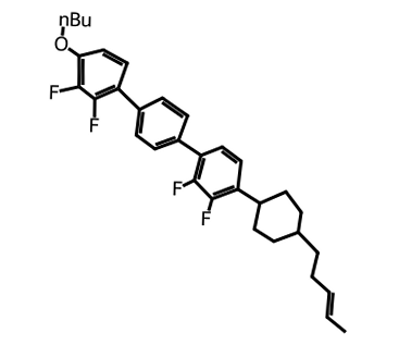 C/C=C/CCC1CCC(c2ccc(-c3ccc(-c4ccc(OCCCC)c(F)c4F)cc3)c(F)c2F)CC1